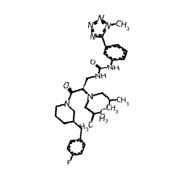 CC(C)CN(CC(C)C)[C@H](CNC(=O)Nc1cccc(-c2nnnn2C)c1)C(=O)N1CCCC(Cc2ccc(F)cc2)C1